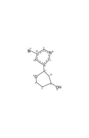 OC1CCOC(c2cncc(Br)c2)C1